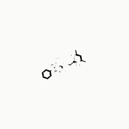 Cc1cc(C)nc(COC(=O)NS(=O)(=O)c2ccccc2)n1